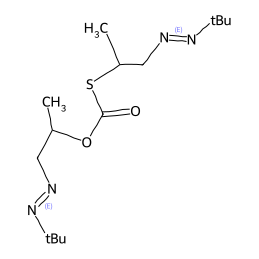 CC(C/N=N/C(C)(C)C)OC(=O)SC(C)C/N=N/C(C)(C)C